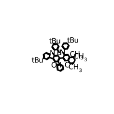 CC(C)(C)c1ccc(N2B3c4cc(C(C)(C)C)ccc4-n4c5ccc(C(C)(C)C)cc5c5c6oc7ccccc7c6c(c3c54)-c3cc4c(cc32)C(C)(C)CCC4(C)C)cc1